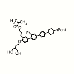 C=C(C)C(=O)OCCCc1cc(-c2ccc(-c3ccc(C4CCC(CCCCC)CC4)cc3)cc2CC)ccc1OCCC(CO)CO